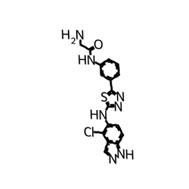 NCC(=O)Nc1cccc(-c2nnc(Nc3ccc4[nH]ncc4c3Cl)s2)c1